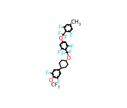 Cc1cc(F)c(C(F)(F)Oc2cc(F)c(C(F)(F)OC3CCC(c4cc(F)c(OC(F)(F)F)c(F)c4)CC3)c(F)c2)c(F)c1